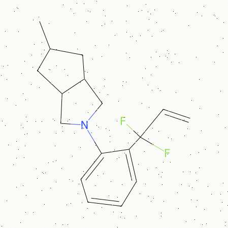 C=CC(F)(F)c1ccccc1N1CC2CC(C)CC2C1